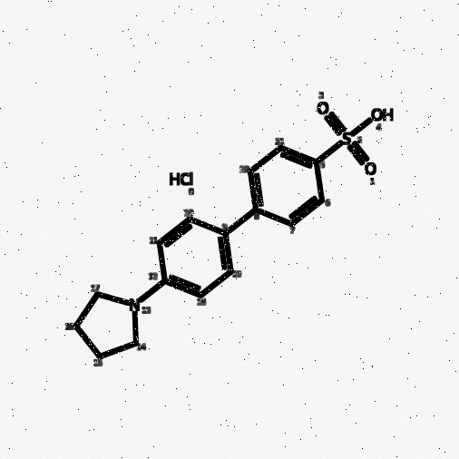 Cl.O=S(=O)(O)c1ccc(-c2ccc(N3CCCC3)cc2)cc1